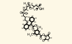 Cc1cc(C(=O)ON2C(=O)CCC2=O)cc(C)c1OC(=O)c1c2ccccc2[n+](CCCS(=O)(=O)NCC[N+](C)(C)CCCS(=O)(=O)O)c2ccccc12